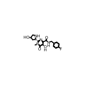 Cn1c([C@@H]2C[C@@H](O)CN2)nc(C(=O)NCc2ccc(F)cc2)c(O)c1=O